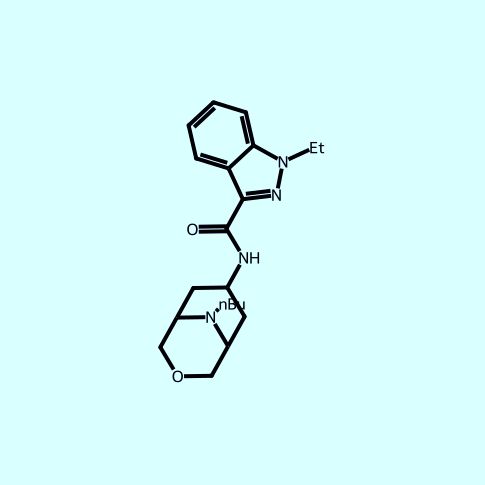 CCCCN1C2COCC1CC(NC(=O)c1nn(CC)c3ccccc13)C2